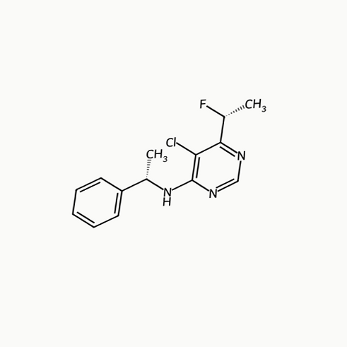 C[C@H](Nc1ncnc([C@@H](C)F)c1Cl)c1ccccc1